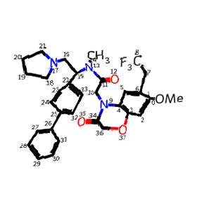 COc1cc2c(cc1CC(F)(F)F)N(CC(=O)N(C)C(CN1CCCC1)c1ccc(-c3ccccc3)cc1)C(=O)CO2